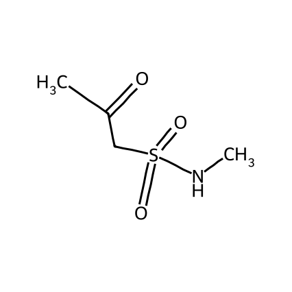 CNS(=O)(=O)CC(C)=O